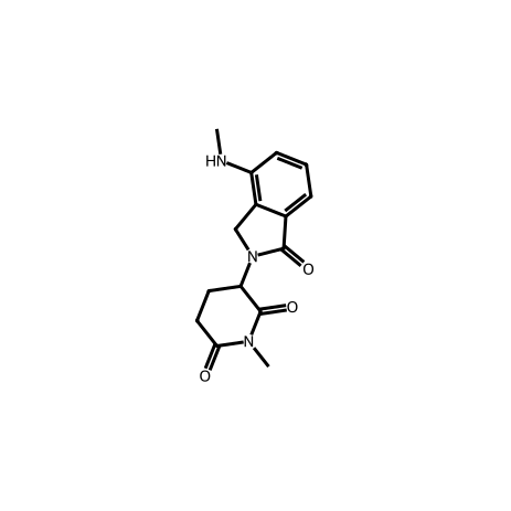 CNc1cccc2c1CN(C1CCC(=O)N(C)C1=O)C2=O